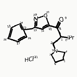 CC(C)C(CN1CCCC1)C(=O)c1cc(-c2ccccc2)no1.Cl